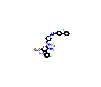 CC(C)COC(=O)c1[nH]c2ccc(F)cc2c1/C(N)=C/N(N)CC1CCN(CCNc2ccc(-c3c(F)cccc3F)cc2)CC1